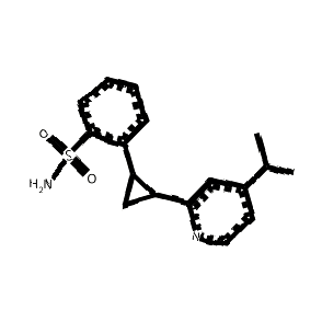 CC(C)c1ccnc(C2CC2c2ccccc2S(N)(=O)=O)c1